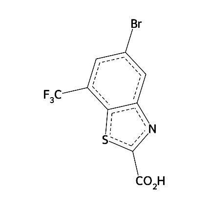 O=C(O)c1nc2cc(Br)cc(C(F)(F)F)c2s1